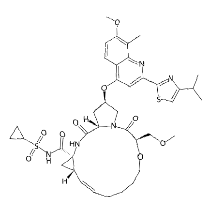 COC[C@H]1OCCCC/C=C\[C@@H]2C[C@@]2(C(=O)NS(=O)(=O)C2CC2)NC(=O)[C@@H]2C[C@@H](Oc3cc(-c4nc(C(C)C)cs4)nc4c(C)c(OC)ccc34)CN2C1=O